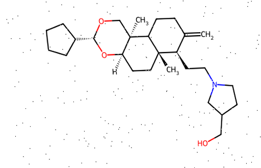 C=C1CCC2[C@]3(C)CO[C@@H](C4CCCC4)O[C@@H]3CC[C@@]2(C)[C@@H]1CCN1CCC(CO)C1